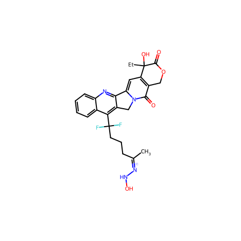 CCC1(O)C(=O)OCc2c1cc1n(c2=O)Cc2c-1nc1ccccc1c2C(F)(F)CCC/C(C)=N\NO